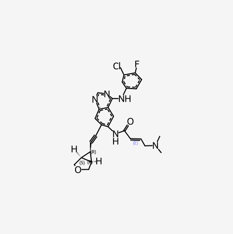 CN(C)C/C=C/C(=O)Nc1cc2c(Nc3ccc(F)c(Cl)c3)ncnc2cc1C#C[C@H]1[C@H]2COC[C@@H]12